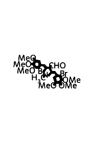 COc1cc(C=C2CN(C)CC(=Cc3cc(OC)c(OC)c(OC)c3Br)C2C=O)c(Br)c(OC)c1OC